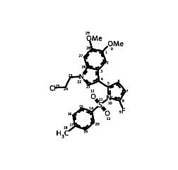 COc1cc2c(-c3ccc(F)n3S(=O)(=O)c3ccc(C)cc3)cn(CCCl)c2cc1OC